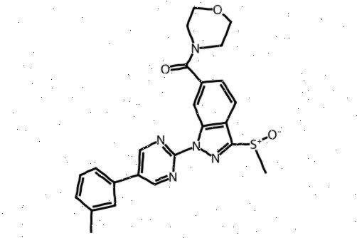 Cc1cccc(-c2cnc(-n3nc([S+](C)[O-])c4ccc(C(=O)N5CCOCC5)cc43)nc2)c1